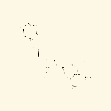 COc1cc(N2C[C@@H](CNCc3ccccc3)C2=O)cc(OC)c1OC